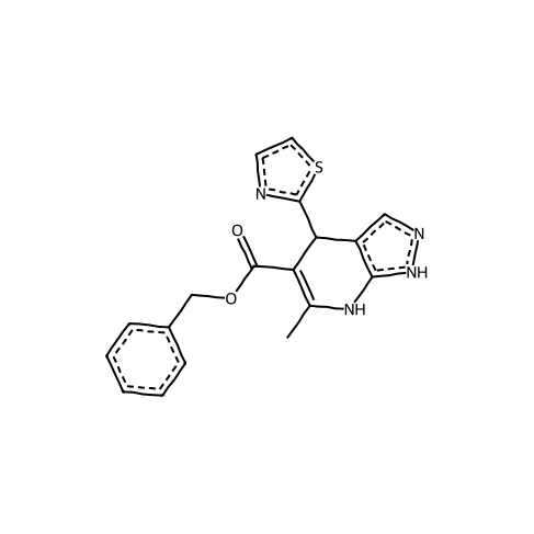 CC1=C(C(=O)OCc2ccccc2)C(c2nccs2)c2cn[nH]c2N1